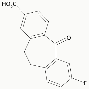 O=C(O)c1ccc2c(c1)CCc1ccc(F)cc1C2=O